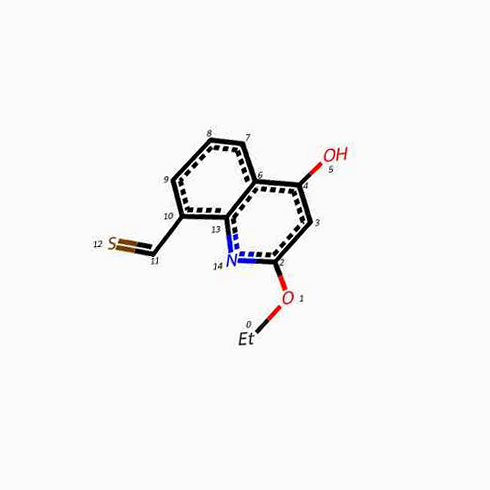 CCOc1cc(O)c2cccc(C=S)c2n1